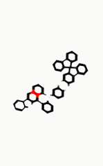 C1=CC2Sc3c(-c4ccccc4N(c4ccccc4)c4ccc5c(c4)Oc4cc6c(cc4O5)-c4ccccc4C64c5ccccc5-c5ccccc54)cccc3C2C=C1